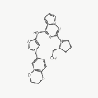 OC[C@@H]1CCCN1c1nc(Nc2cn(-c3ccc4c(c3)OCCO4)cn2)c2cccn2n1